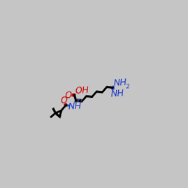 CC1(C)CC1C(=O)N/C(=C/CCCCCC(=N)N)C(=O)O